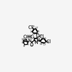 O=Cc1c(C(=O)NC23CCC(CC2)C3)nn(-c2ccc(Cl)cc2Cl)c1Oc1ccc(Cl)cc1